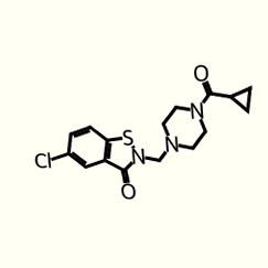 O=C(C1CC1)N1CCN(Cn2sc3ccc(Cl)cc3c2=O)CC1